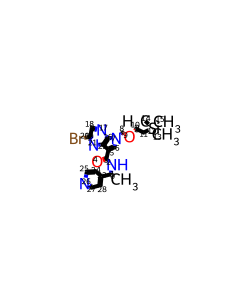 CC(NC(=O)c1cn(COCC[Si](C)(C)C)c2ncc(Br)nc12)c1ccncc1